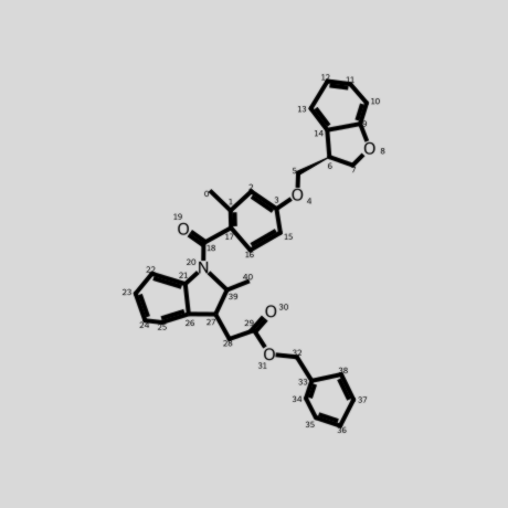 Cc1cc(OC[C@@H]2COc3ccccc32)ccc1C(=O)N1c2ccccc2C(CC(=O)OCc2ccccc2)C1C